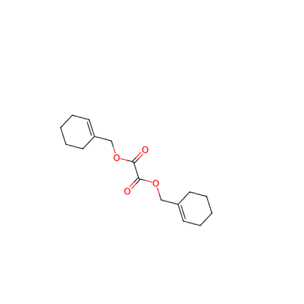 O=C(OCC1=CCCCC1)C(=O)OCC1=CCCCC1